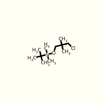 CC(C)(CCl)CO[Si](C)(C)C(C)(C)C